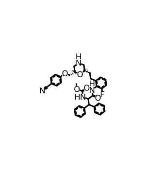 COC(=O)NC(C(=O)Nc1c(F)cccc1CC[C@@H]1CNC[C@@H](COc2ccc(C#N)cc2)O1)C(c1ccccc1)c1ccccc1